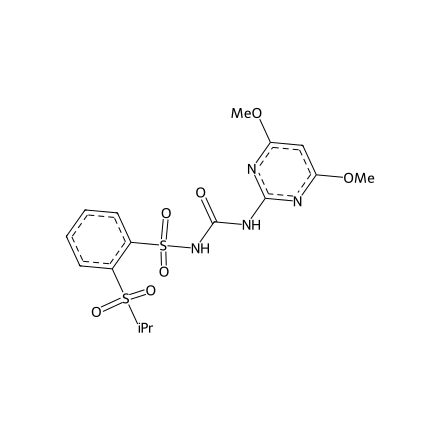 COc1cc(OC)nc(NC(=O)NS(=O)(=O)c2ccccc2S(=O)(=O)C(C)C)n1